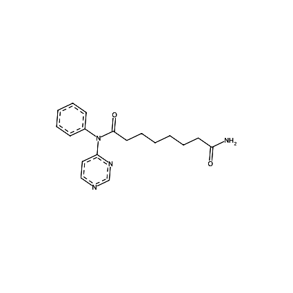 NC(=O)CCCCCCC(=O)N(c1ccccc1)c1ccncn1